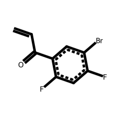 C=CC(=O)c1cc(Br)c(F)cc1F